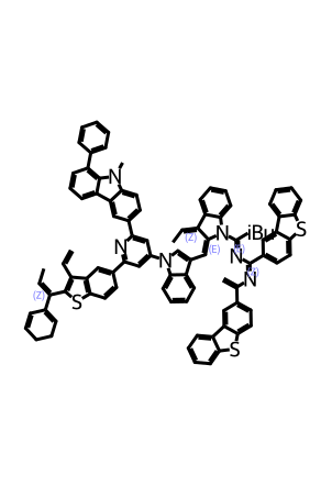 C=Cc1c(/C(=C\C)C2=CCCC=C2)sc2ccc(-c3cc(-n4cc(/C=c5\c(=C/C)c6ccccc6n5/C(=N/C(=N\C(=C)c5ccc6sc7ccccc7c6c5)c5ccc6sc7ccccc7c6c5)C(C)CC)c5ccccc54)cc(-c4ccc5c(c4)c4cccc(-c6ccccc6)c4n5C)n3)cc12